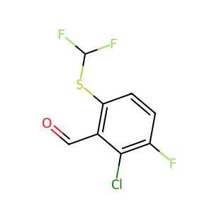 O=Cc1c(SC(F)F)ccc(F)c1Cl